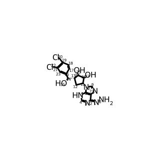 N/N=c1/nc[nH]c2c1ncn2[C@@H]1C[C@H](C(O)c2ccc(Cl)c(Cl)c2)[C@@H](O)[C@H]1O